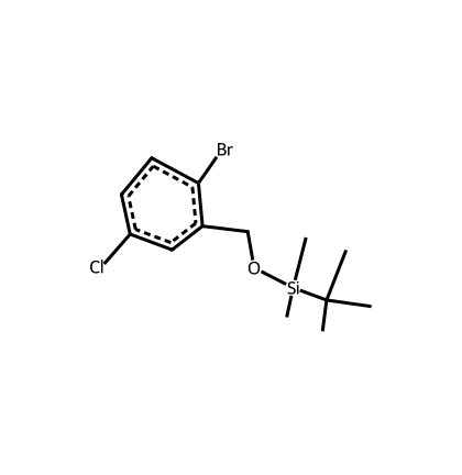 CC(C)(C)[Si](C)(C)OCc1cc(Cl)ccc1Br